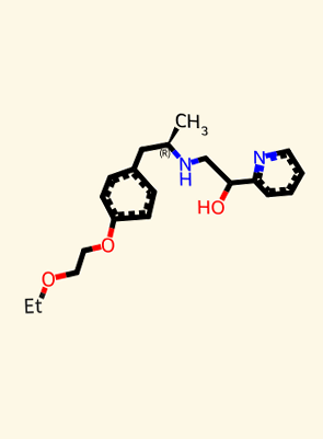 CCOCCOc1ccc(C[C@@H](C)NCC(O)c2ccccn2)cc1